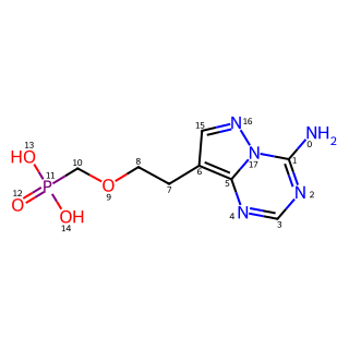 Nc1ncnc2c(CCOCP(=O)(O)O)cnn12